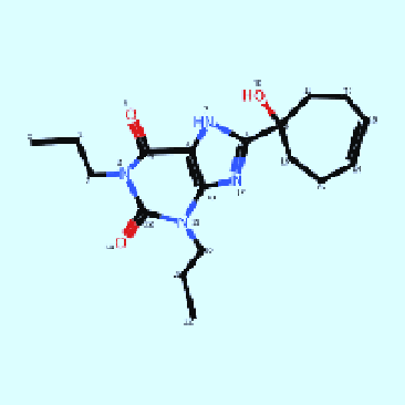 CCCn1c(=O)c2[nH]c(C3(O)CCC=CCC3)nc2n(CCC)c1=O